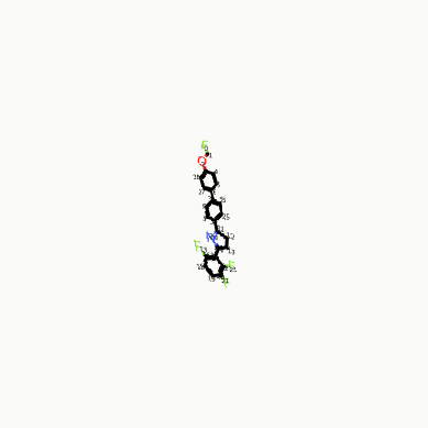 FCOc1ccc(-c2ccc(C3CCC(c4c(F)ccc(F)c4F)=N3)cc2)cc1